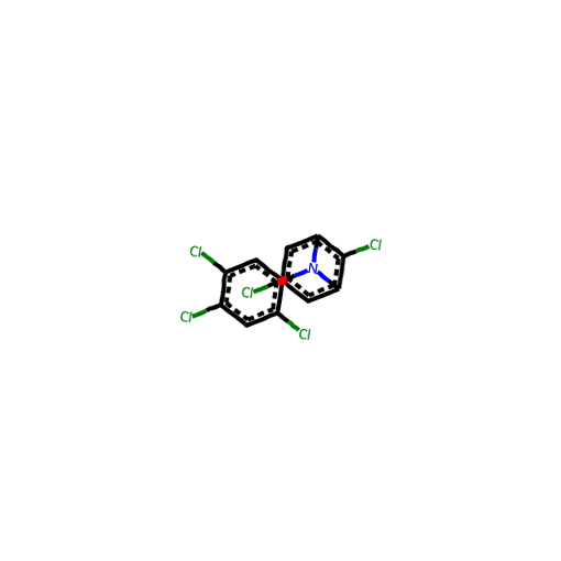 Clc1cc2c(Cl)c(c1)N2c1cc(Cl)c(Cl)cc1Cl